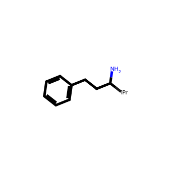 CC(C)C(N)CCc1ccccc1